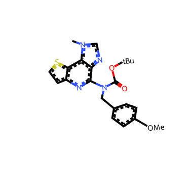 COc1ccc(CN(C(=O)OC(C)(C)C)c2nc3ccsc3c3c2ncn3C)cc1